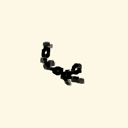 CSc1c(Cl)nc(-c2ccc(NC(=O)NN3CCN(C)CC3)cc2)nc1N1CCOCC1